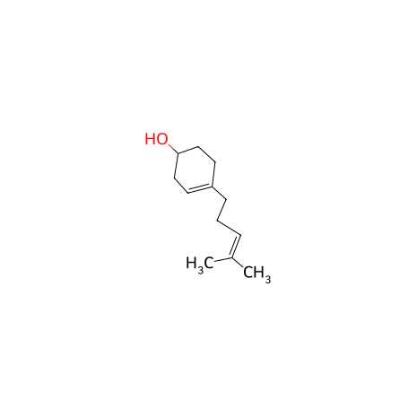 CC(C)=CCCC1=CCC(O)CC1